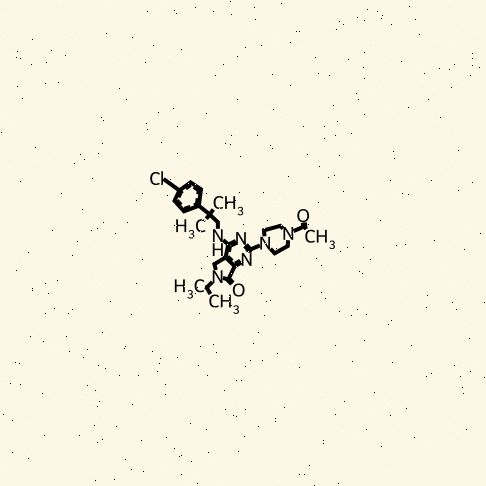 CC(=O)N1CCN(c2nc(NCC(C)(C)c3ccc(Cl)cc3)c3c(n2)C(=O)N(C(C)C)C3)CC1